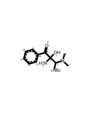 CCCCC(N(C)C)C(N)(O)C(=O)c1ccccc1